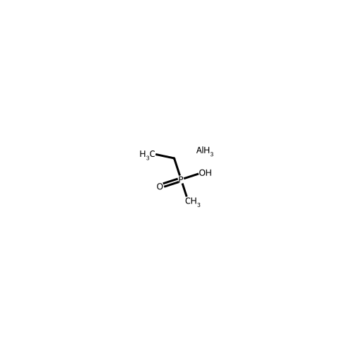 CCP(C)(=O)O.[AlH3]